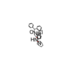 O=C(CNC(=O)C(c1ccccc1)c1ccccc1)NC1CC2CCC(C1)N2Cc1ccc(Cl)cc1